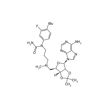 CN(CCCN(C(N)=O)c1ccc(C(C)(C)C)c(F)c1)C[C@H]1O[C@@H](n2cnc3c(N)ncnc32)C2OC(C)(C)O[C@@H]21